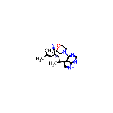 C=C(/C=C(/C#N)C=C(C)C)c1c[nH]c2ncnc(N3CCOCC3)c12